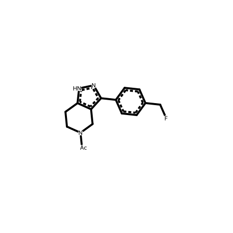 CC(=O)N1CCc2[nH]nc(-c3ccc(CF)cc3)c2C1